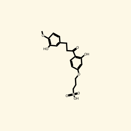 COc1ccc(CCC(=O)c2ccc(OCCCS(=O)(=O)O)cc2O)cc1O